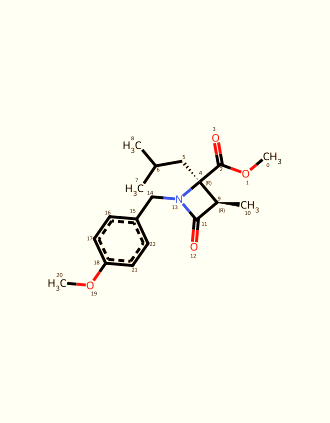 COC(=O)[C@@]1(CC(C)C)[C@@H](C)C(=O)N1Cc1ccc(OC)cc1